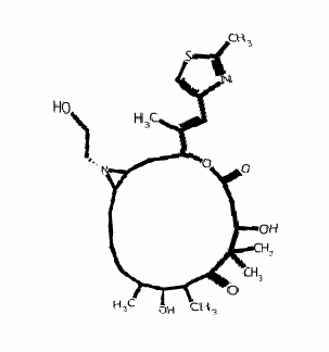 C/C(=C\c1csc(C)n1)C1CC2C(CCCC(C)[C@H](O)C(C)C(=O)C(C)(C)C(O)CC(=O)O1)[N@]2CCO